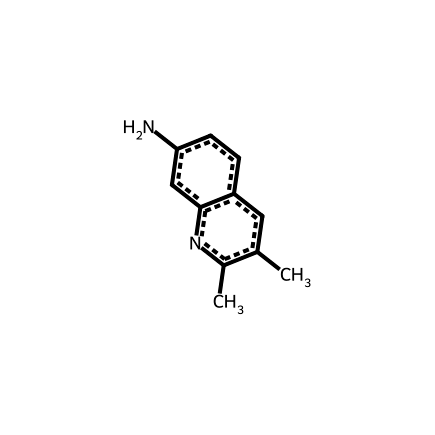 Cc1cc2ccc(N)cc2nc1C